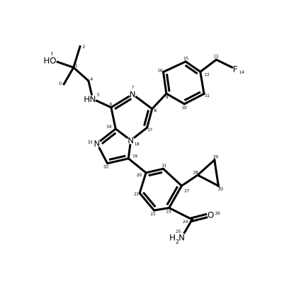 CC(C)(O)CNc1nc(-c2ccc(CF)cc2)cn2c(-c3ccc(C(N)=O)c(C4CC4)c3)cnc12